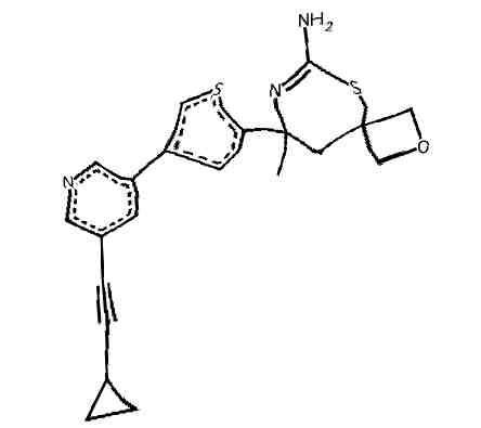 CC1(c2cc(-c3cncc(C#CC4CC4)c3)cs2)CC2(COC2)SC(N)=N1